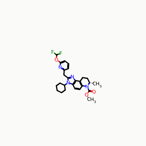 COC(=O)N1c2ccc3c(nc(Cc4cccc(OC(F)F)n4)n3C3CCCCC3)c2CC[C@@H]1C